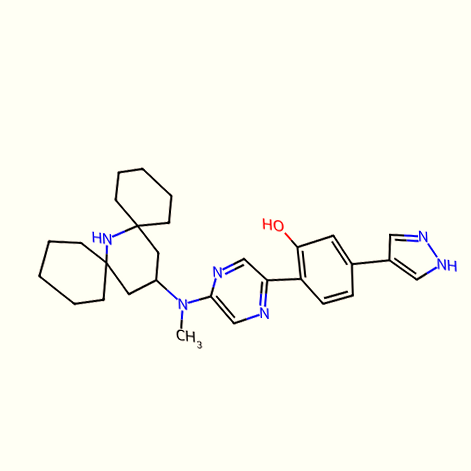 CN(c1cnc(-c2ccc(-c3cn[nH]c3)cc2O)cn1)C1CC2(CCCCC2)NC2(CCCCC2)C1